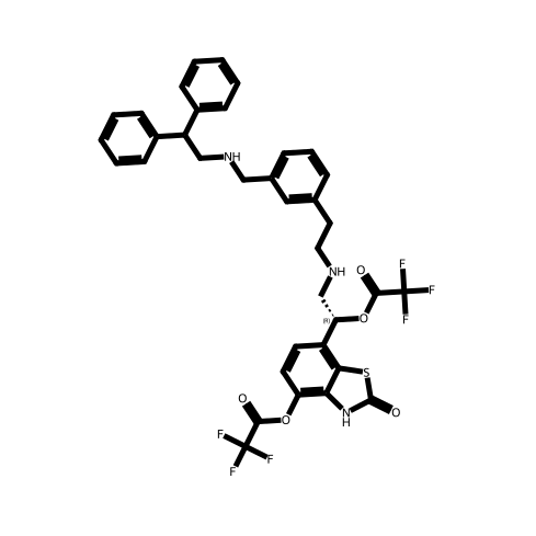 O=C(Oc1ccc([C@H](CNCCc2cccc(CNCC(c3ccccc3)c3ccccc3)c2)OC(=O)C(F)(F)F)c2sc(=O)[nH]c12)C(F)(F)F